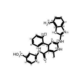 CC1=C(C(=O)Nc2cc(C(=O)O)ccn2)C(c2ccccc2Cl)N=C(Nc2nc3cccc(N)c3o2)N1